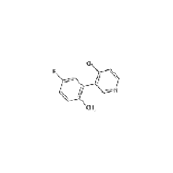 Cc1ccc(F)cc1-c1cnccc1Cl